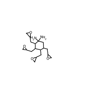 NC1(N)CC(CC2CO2)C(CC2CO2)C(CC2CO2)C1CC1CO1